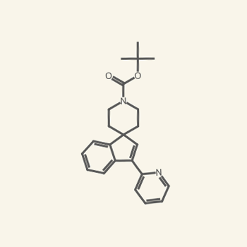 CC(C)(C)OC(=O)N1CCC2(C=C(c3ccccn3)c3ccccc32)CC1